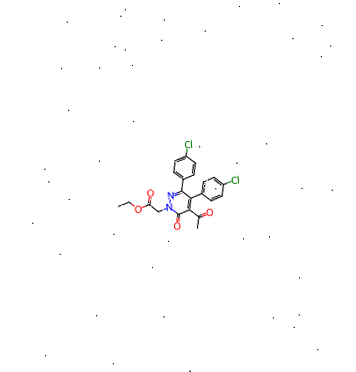 CCOC(=O)Cn1nc(-c2ccc(Cl)cc2)c(-c2ccc(Cl)cc2)c(C(C)=O)c1=O